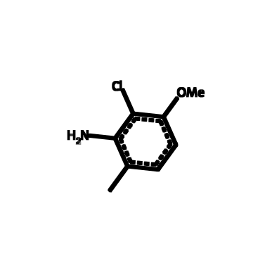 COc1ccc(C)c(N)c1Cl